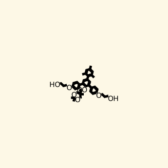 Cc1cc(C)c(-c2cc(-c3ccc(OCCCO)cc3)c(OC(=O)C3(C)COC(C)(C)OC3)c(-c3ccc(OCCCO)cc3)c2)c(C)c1